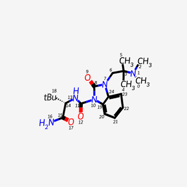 CN(C)C(C)(C)Cn1c(=O)n(C(=O)N[C@H](C(N)=O)C(C)(C)C)c2ccccc21